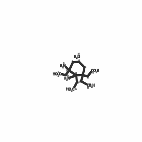 NC1(CC(=O)O)CCCC(CC(=O)O)(CC(=O)O)C1(N)CC(=O)O.O